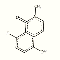 Cn1ccc2c(O)ccc(F)c2c1=O